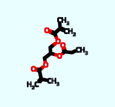 C=C(C)C(=O)OCC(COC(=O)C(=C)C)OC(=O)CC